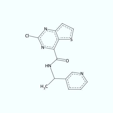 CC(NC(=O)c1nc(Cl)nc2ccsc12)c1cccnc1